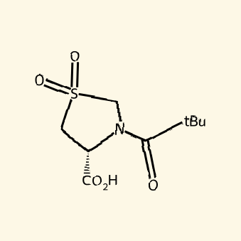 CC(C)(C)C(=O)N1CS(=O)(=O)C[C@H]1C(=O)O